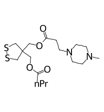 CCCC(=O)OCC1(COC(=O)CCN2CCN(C)CC2)CSSC1